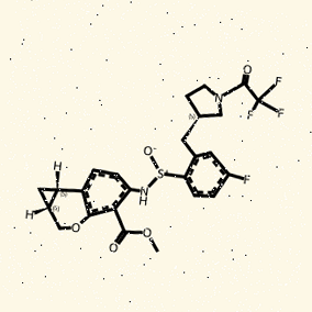 COC(=O)c1c(N[S+]([O-])c2ccc(F)cc2C[C@H]2CCN(C(=O)C(F)(F)F)C2)ccc2c1OC[C@@H]1C[C@H]21